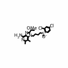 COCCc1nc2c(N)nc(C)c(C)c2n1CCCC[S+]([O-])c1ccc(Cl)cc1Cl